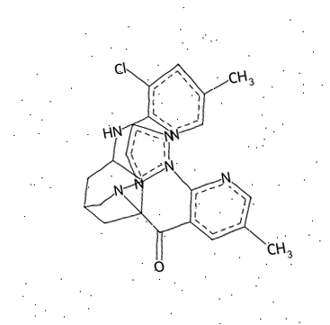 Cc1cnc(NC2CC3CCC2N(C(=O)c2cc(C)cnc2-n2nccn2)C3)c(Cl)c1